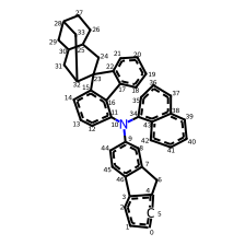 c1ccc2c(c1)Cc1cc(N(c3cccc4c3-c3ccccc3C43CC4CCC5CC4CC3C5)c3cccc4ccccc34)ccc1-2